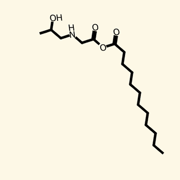 CCCCCCCCCCCC(=O)OC(=O)CNCC(C)O